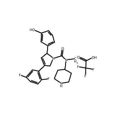 CN(C(=O)N1CC(c2cc(F)ccc2F)=CC1c1cccc(O)c1)C1CCNCC1.O=C(O)C(F)(F)F